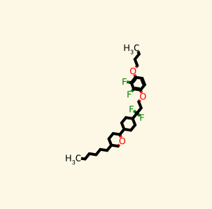 CCCCCCC1CCC(C2CCC(C(F)(F)CCOc3ccc(OCCCC)c(F)c3F)CC2)OC1